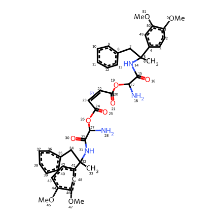 COc1ccc(C(C)(Cc2ccccc2)NC(=O)C(N)OC(=O)/C=C\C(=O)OC(N)C(=O)NC(C)(Cc2ccccc2)c2ccc(OC)c(OC)c2)cc1OC